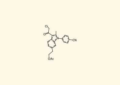 CC(=O)OCCc1ccc2c(C(=O)CCl)c(C)n(-c3ccc(C#N)cc3)c2c1